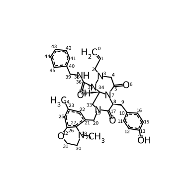 C=CCN1CC(=O)N2[C@@H](Cc3ccc(O)cc3)C(=O)N(Cc3cc(C)cc4c3N(C)CCO4)C[C@@H]2N1C(=O)NCc1ccccc1